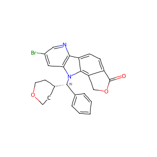 O=C1OCc2c1ccc1c3ncc(Br)cc3n([C@H](c3ccccc3)C3CCOCC3)c21